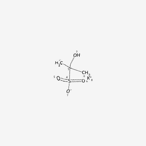 CC(C)(O)S(=O)(=O)[O-].[K+]